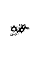 O=COC(c1ccc2c(Br)n[nH]c2c1)C1CCCCO1